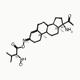 CC(=O)[C@@]1(N)CCC2C3CCC4=C/C(=N/OC(=O)[C@@H](NCl)C(C)C)CC[C@]4(C)C3CC[C@@]21C